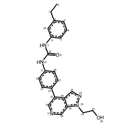 CCc1cccc(NC(=O)Nc2ccc(-c3cncc4c3cnn4CCO)cc2)c1